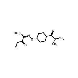 CN(C)C(=O)[C@H]1CC[C@H](ON=C(C(=O)O)C(=O)CCl)CC1